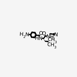 CC(C)C[C@H](NC(=O)c1ccc(N)cc1)C(=O)NCC#N